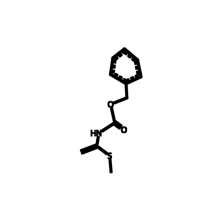 C=C(NC(=O)OCc1ccccc1)SC